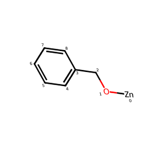 [Zn][O]Cc1ccccc1